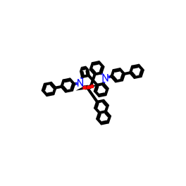 c1ccc(-c2ccc(N3c4ccccc4C4(c5ccccc53)c3ccccc3N(c3ccc(-c5ccccc5)cc3)c3ccc(-c5ccc6ccccc6c5)cc34)cc2)cc1